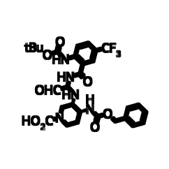 CC(C)(C)OC(=O)Nc1ccc(C(F)(F)F)cc1C(=O)NC(C=O)N[C@@H]1CN(C(=O)O)CC[C@@H]1NC(=O)OCc1ccccc1